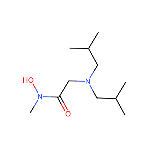 CC(C)CN(CC(=O)N(C)O)CC(C)C